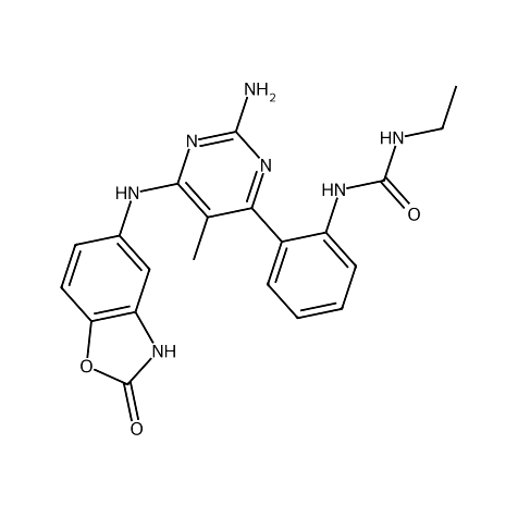 CCNC(=O)Nc1ccccc1-c1nc(N)nc(Nc2ccc3oc(=O)[nH]c3c2)c1C